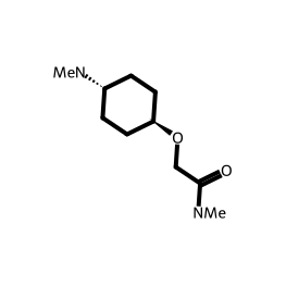 CNC(=O)CO[C@H]1CC[C@H](NC)CC1